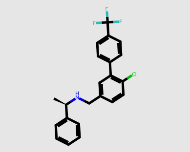 C[C@@H](NCc1ccc(Cl)c(-c2ccc(C(F)(F)F)cc2)c1)c1ccccc1